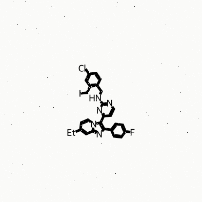 CCc1ccn2c(-c3ccnc(NCc4ccc(Cl)cc4CI)n3)c(-c3ccc(F)cc3)nc2c1